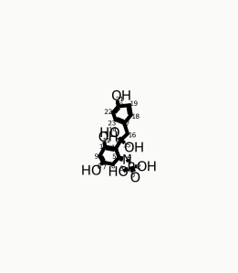 O=P(O)(O)N=C1CC(O)=CC(O)=C1C(O)(O)Cc1ccc(O)cc1